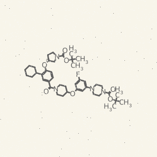 CC(C)(C)OC(=O)N1CCN(c2cc(F)cc(OC3CCN(C(=O)c4ccc(O[C@H]5CCN(C(=O)OC(C)(C)C)C5)c(C5CCCCC5)c4)CC3)c2)CC1